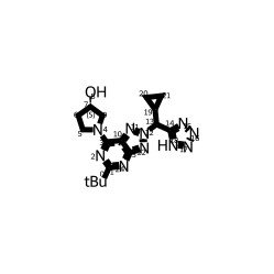 CC(C)(C)c1nc(N2CC[C@H](O)C2)c2nn(C(c3nnn[nH]3)C3CC3)nc2n1